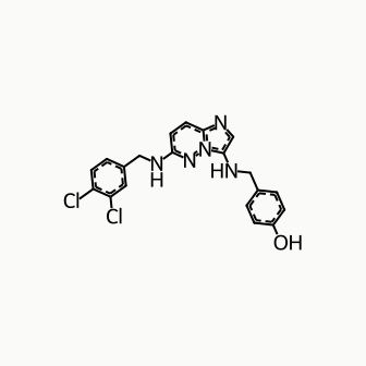 Oc1ccc(CNc2cnc3ccc(NCc4ccc(Cl)c(Cl)c4)nn23)cc1